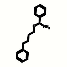 NC(OCCCCc1ccccc1)c1ccccc1